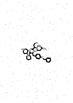 CC(C)CC(C(=O)NC(Cc1ccc(OCc2ccccc2)cc1)C(=O)[N+]1(C2CCNCC2)CCCCC1)N(C)CCC(C)O